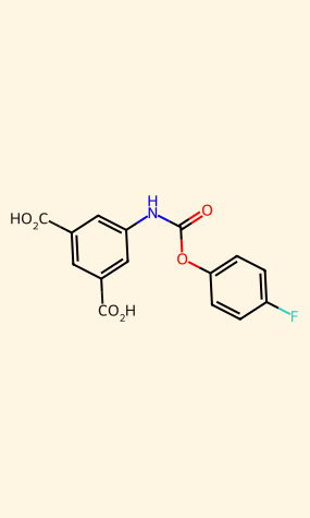 O=C(Nc1cc(C(=O)O)cc(C(=O)O)c1)Oc1ccc(F)cc1